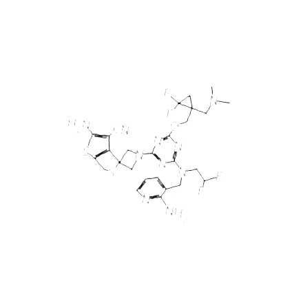 C[C@H](c1cccnc1N)N(CC(F)F)c1nc(OCC2(CN(C)C)CC2(F)F)nc(N2CC3(C2)SCc2sc(N)c(C#N)c23)n1